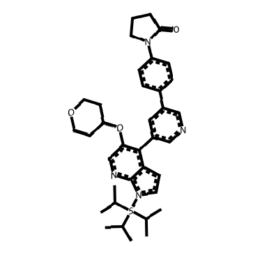 CC(C)S(C(C)C)(C(C)C)n1ccc2c(-c3cncc(-c4ccc(N5CCCC5=O)cc4)c3)c(OC3CCOCC3)cnc21